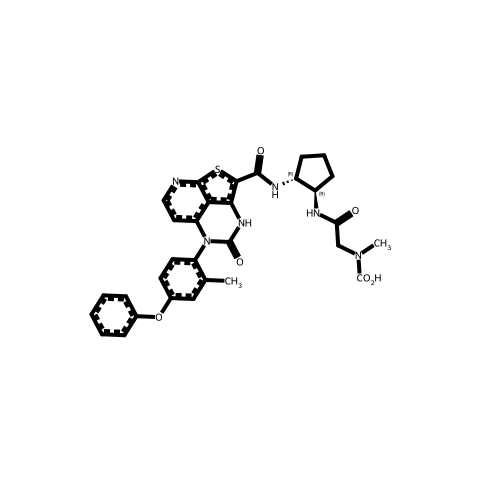 Cc1cc(Oc2ccccc2)ccc1N1C(=O)Nc2c(C(=O)N[C@@H]3CCC[C@H]3NC(=O)CN(C)C(=O)O)sc3nccc1c23